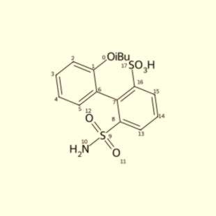 CC(C)COc1ccccc1-c1c(S(N)(=O)=O)cccc1S(=O)(=O)O